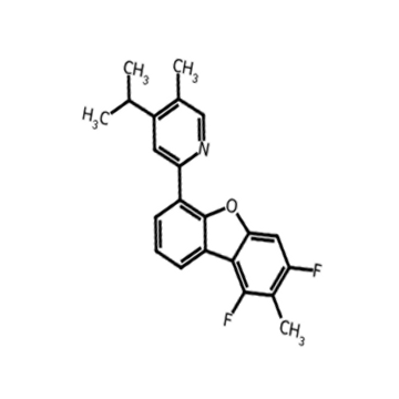 Cc1cnc(-c2cccc3c2oc2cc(F)c(C)c(F)c23)cc1C(C)C